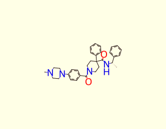 C[C@H](NC(=O)C1(c2ccccc2)CCN(C(=O)c2ccc(N3CCN(C)CC3)cc2)CC1)c1ccccc1